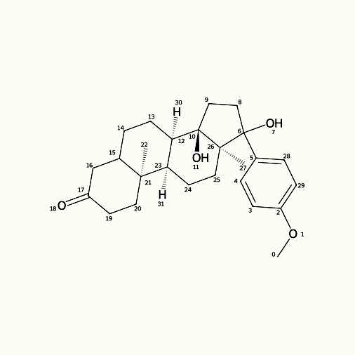 COc1ccc(C2(O)CC[C@@]3(O)[C@@H]4CCC5CC(=O)CC[C@]5(C)[C@@H]4CC[C@]23C)cc1